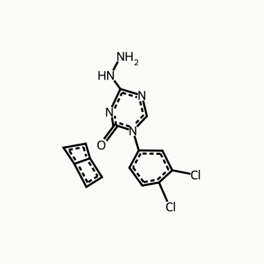 NNc1ncn(-c2ccc(Cl)c(Cl)c2)c(=O)n1.c1cc2ccc1-2